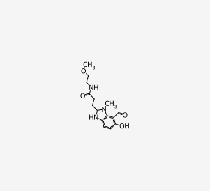 COCCNC(=O)CCC1Nc2ccc(O)c(C=O)c2N1C